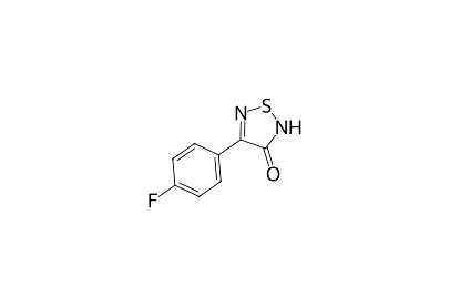 O=c1[nH]snc1-c1ccc(F)cc1